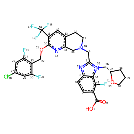 O=C(O)c1ccc2nc(CN3CCc4cc(C(F)(F)F)c(OCc5c(F)cc(Cl)cc5F)nc4C3)n(C[C@@H]3CCCO3)c2c1F